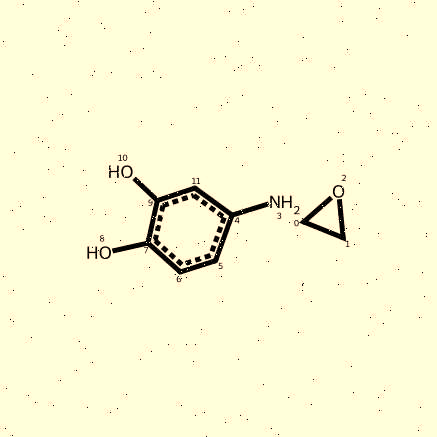 C1CO1.Nc1ccc(O)c(O)c1